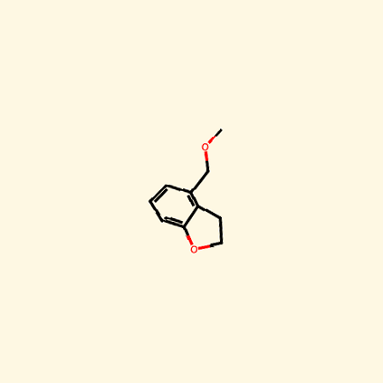 COCc1cccc2c1CCO2